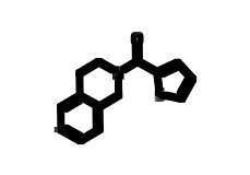 O=C(c1cccs1)N1CCc2c[c]ccc2C1